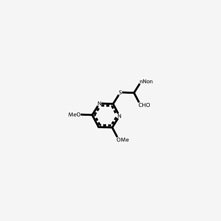 CCCCCCCCCC(C=O)Sc1nc(OC)cc(OC)n1